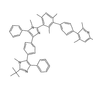 Cc1cc(C)c(-c2ccc(-c3c(C)cc(C)c(-c4nc(-c5ccc(-c6c(C7=CC=C=C=C7)nc(C(C)(C)C)n6C)cc5)c(-c5ccccc5)n4C)c3C)cc2)c(C)n1